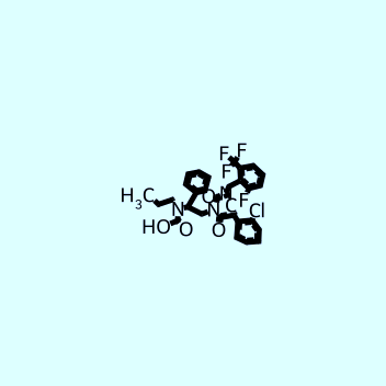 CCCN(C(=O)O)C(Cn1c(=O)c(-c2ccccc2Cl)cn(Cc2c(F)cccc2C(F)(F)F)c1=O)c1ccccc1